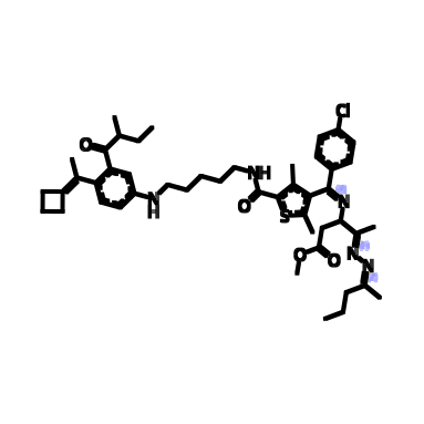 CCC/C(C)=N\N=C(/C)C(CC(=O)OC)/N=C(/c1ccc(Cl)cc1)c1c(C)sc(C(=O)NCCCCCNc2ccc(C(C)=C3CCC3)c(C(=O)C(C)CC)c2)c1C